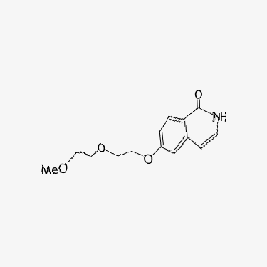 COCCOCCOc1ccc2c(=O)[nH]ccc2c1